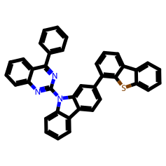 c1ccc(-c2nc(-n3c4ccccc4c4ccc(-c5cccc6c5sc5ccccc56)cc43)nc3ccccc23)cc1